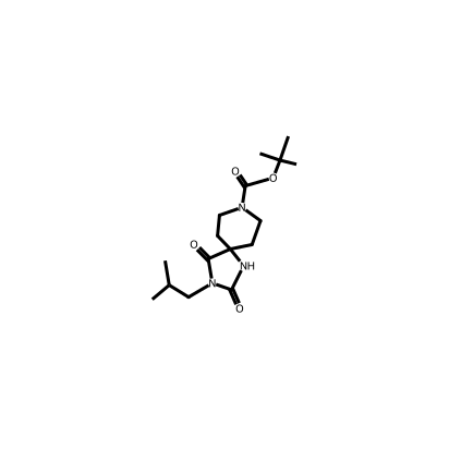 CC(C)CN1C(=O)NC2(CCN(C(=O)OC(C)(C)C)CC2)C1=O